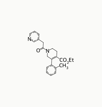 CCOC(=O)C1=C(c2ccccc2C)CN(C(=O)Cc2cccnc2)CC1